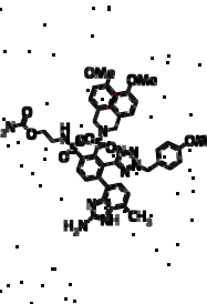 COc1ccc(CN(Cc2ccc(OC)cc2)S(=O)(=O)c2c(S(=O)(=O)NCCOC(N)=O)ccc(-c3ccc(C)c4[nH]c(N)nc34)c2-c2nnn(Cc3ccc(OC)cc3)n2)cc1